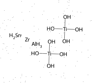 [AlH3].[OH][Ti]([OH])([OH])[OH].[OH][Ti]([OH])([OH])[OH].[SnH2].[Zr]